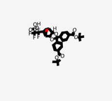 CC(C)(C)OC(=O)c1ccc(C2(c3ccc(C(=O)OC(C)(C)C)cc3)OC3C4CC(CC4C(F)(F)C(F)(F)S(=O)(=O)O)[C@@H]3O2)cc1